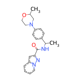 CC1CN(c2ccc(C(C)NC(=O)c3cc4ccccn4n3)cc2)CCO1